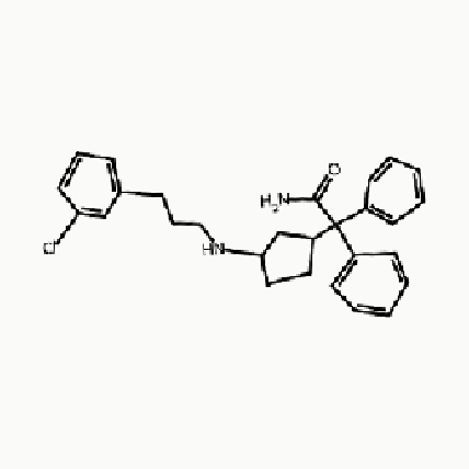 NC(=O)C(c1ccccc1)(c1ccccc1)C1CCC(NCCCc2cccc(Cl)c2)C1